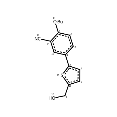 CC(C)COc1ccc(-c2ccc(CO)s2)cc1C#N